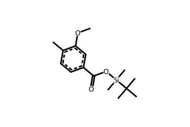 COc1cc(C(=O)O[Si](C)(C)C(C)(C)C)ccc1C